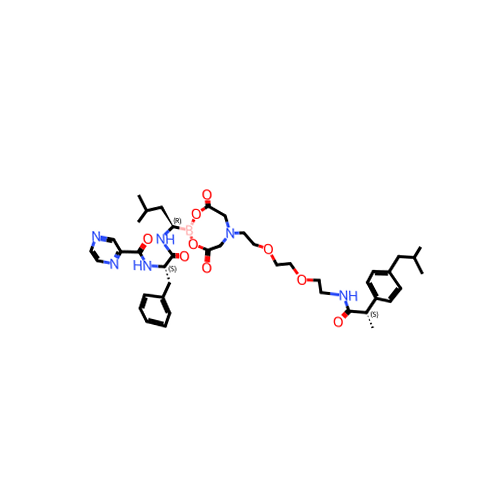 CC(C)Cc1ccc([C@H](C)C(=O)NCCOCCOCCN2CC(=O)OB([C@H](CC(C)C)NC(=O)[C@H](Cc3ccccc3)NC(=O)c3cnccn3)OC(=O)C2)cc1